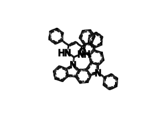 C1=C(c2ccccc2)NC(n2c3ccccc3c3ccc4c(c5c6oc7ccccc7c6ccc5n4-c4ccccc4)c32)NC1c1ccccc1